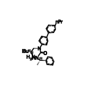 CCCc1ccc(-c2ccc(N(C[C@@H](N)[C@@H](C)CC)C(=O)N[C@@H](C)c3ccccc3)cc2)cc1